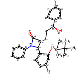 CC(C)(C)[Si](C)(C)Oc1cc(Br)ccc1[C@@H]1[C@@H](CC[C@H](O)c2ccc(F)cc2)C(=O)N1c1ccccc1